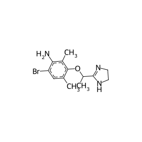 Cc1cc(Br)c(N)c(C)c1OC(C)C1=NCCN1